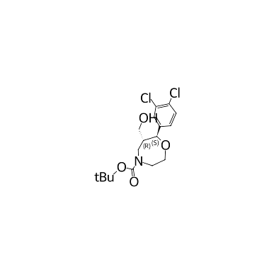 CC(C)(C)OC(=O)N1CCO[C@H](c2ccc(Cl)c(Cl)c2)[C@@H](CO)C1